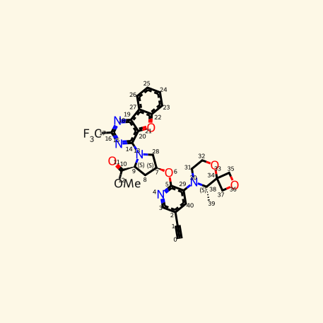 C#Cc1cnc(O[C@H]2C[C@@H](C(=O)OC)N(c3nc(C(F)(F)F)nc4c3oc3ccccc34)C2)c(N2CCOC3(COC3)[C@@H]2C)c1